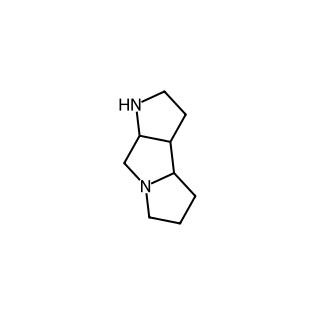 C1CC2C3CCNC3CN2C1